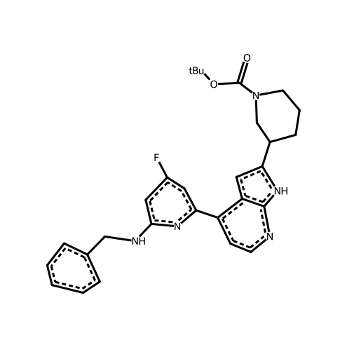 CC(C)(C)OC(=O)N1CCCC(c2cc3c(-c4cc(F)cc(NCc5ccccc5)n4)ccnc3[nH]2)C1